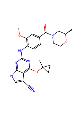 COc1cc(C(=O)N2CCO[C@H](C)C2)ccc1Nc1nc(OC2(C)CC2)c2c(C#N)c[nH]c2n1